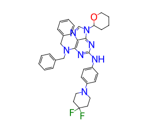 FC1(F)CCN(c2ccc(Nc3nc(N(Cc4ccccc4)Cc4ccccc4)c4ncn(C5CCCCO5)c4n3)cc2)CC1